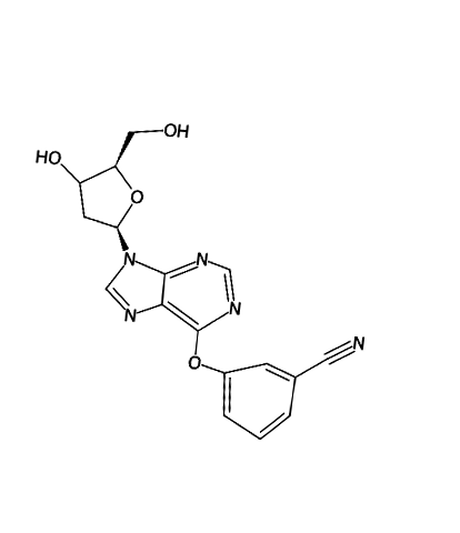 N#Cc1cccc(Oc2ncnc3c2ncn3[C@H]2CC(O)[C@@H](CO)O2)c1